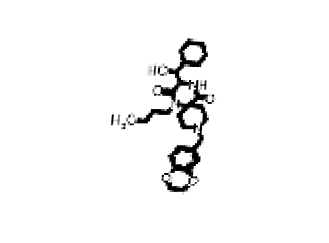 CCCCN1C(=O)C(C(O)C2CCCCC2)NC(=O)C12CCN(Cc1ccc3c(c1)OCCO3)CC2